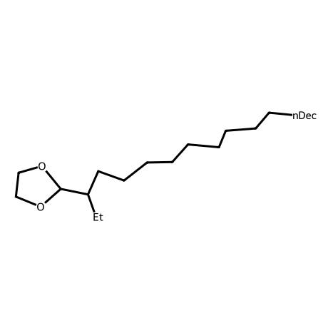 CCCCCCCCCCCCCCCCCCCC(CC)C1OCCO1